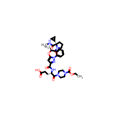 CCOC(=O)N1CCN(C(=O)[C@H](CCC(=O)O)NC(=O)c2cc(O[C@@H](C)C(=O)N3CCC[C@@]3(C(=O)NC)C3CC3)n(-c3ccccc3)n2)CC1